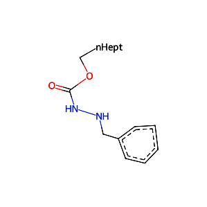 CCCCCCCCOC(=O)NNCc1ccccc1